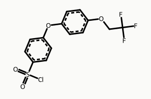 O=S(=O)(Cl)c1ccc(Oc2ccc(OCC(F)(F)F)cc2)cc1